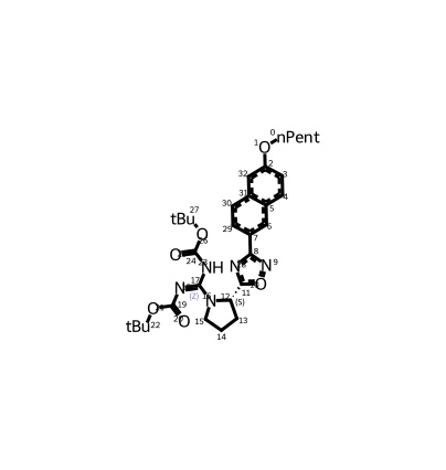 CCCCCOc1ccc2cc(-c3noc([C@@H]4CCCN4/C(=N\C(=O)OC(C)(C)C)NC(=O)OC(C)(C)C)n3)ccc2c1